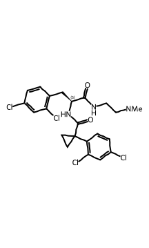 CNCCNC(=O)[C@H](Cc1ccc(Cl)cc1Cl)NC(=O)C1(c2ccc(Cl)cc2Cl)CC1